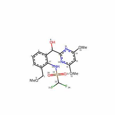 COCc1cccc(C(O)c2nc(OC)cc(OC)n2)c1NS(=O)(=O)C(F)F